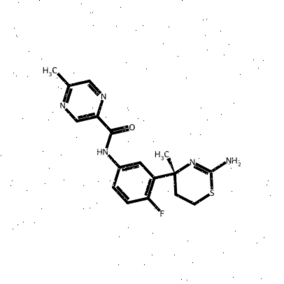 Cc1cnc(C(=O)Nc2ccc(F)c([C@@]3(C)CCSC(N)=N3)c2)cn1